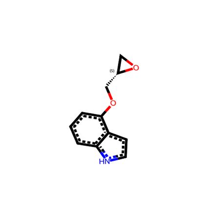 c1cc(OC[C@@H]2CO2)c2cc[nH]c2c1